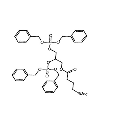 CCCCCCCCCCCCCC(=O)OCC(COP(=O)(OCc1ccccc1)OCc1ccccc1)OP(=O)(OCc1ccccc1)OCc1ccccc1